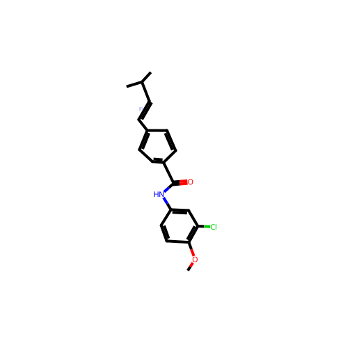 COc1ccc(NC(=O)c2ccc(/C=C/C(C)C)cc2)cc1Cl